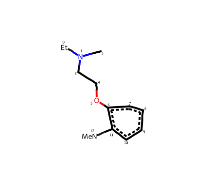 CCN(C)CCOc1ccccc1NC